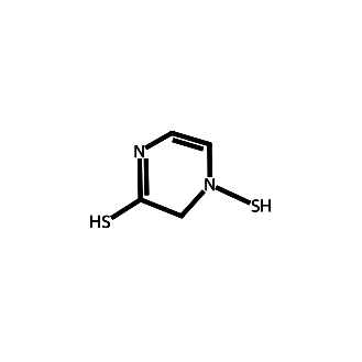 SC1=NC=CN(S)C1